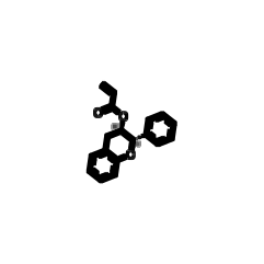 C=CC(=O)O[C@@H]1Cc2ccccc2O[C@H]1c1ccccc1